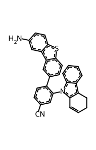 N#Cc1ccc(-c2ccc3sc4ccc(N)cc4c3c2)c(-n2c3c(c4ccccc42)CCC=C3)c1